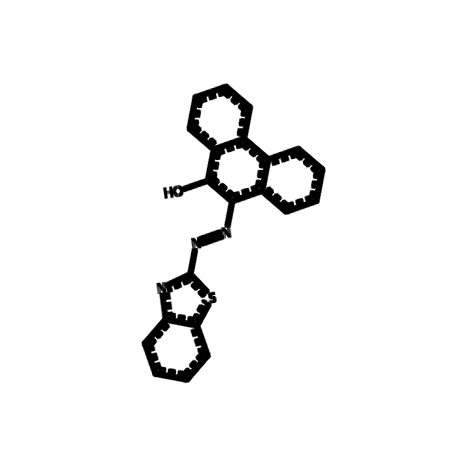 Oc1c(N=Nc2nc3ccccc3s2)c2ccccc2c2ccccc12